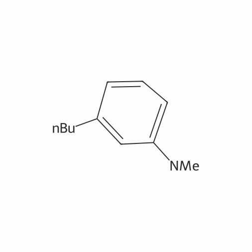 CCCCc1cccc(NC)c1